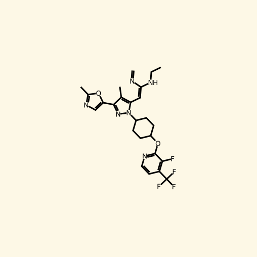 C=N/C(=C\c1c(C)c(-c2cnc(C)o2)nn1C1CCC(Oc2nccc(C(F)(F)F)c2F)CC1)NCC